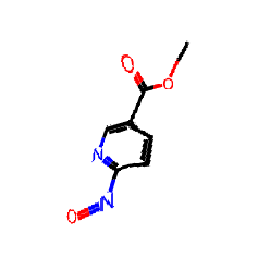 COC(=O)c1ccc(N=O)nc1